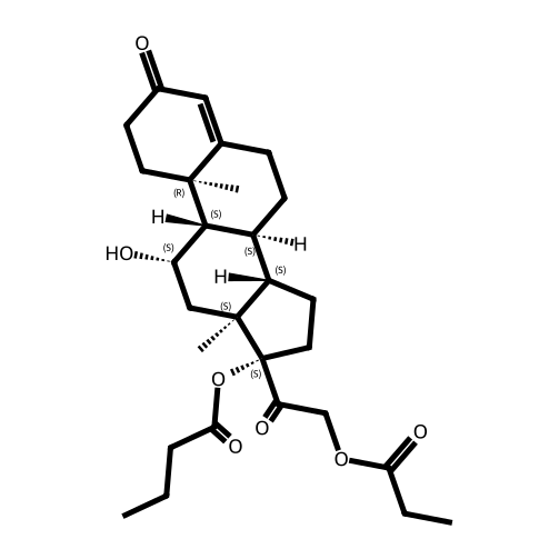 CCCC(=O)O[C@@]1(C(=O)COC(=O)CC)CC[C@H]2[C@@H]3CCC4=CC(=O)CC[C@]4(C)[C@H]3[C@@H](O)C[C@@]21C